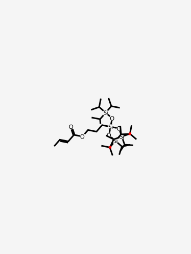 CC=CC(=O)OCCC[Si](O[Si](C(C)C)(C(C)C)C(C)C)(O[Si](C(C)C)(C(C)C)C(C)C)O[Si](C(C)C)(C(C)C)C(C)C